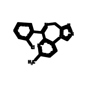 Cc1ccc2c(n1)C(c1ccccc1Cl)=NCc1nncn1-2